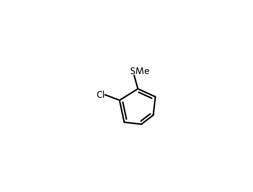 [CH2]Sc1ccccc1Cl